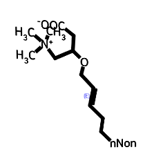 CCCCCCCCCCC/C=C/COC(CC(=O)[O-])C[N+](C)(C)C